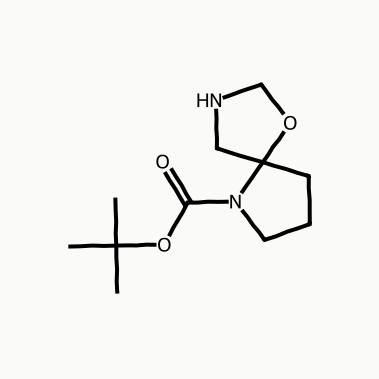 CC(C)(C)OC(=O)N1CCCC12CNCO2